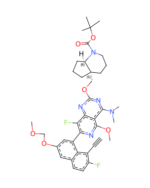 C#Cc1c(F)ccc2cc(OCOC)cc(-c3nc(OC)c4c(N(C)C)nc(OC[C@]56CCC[C@H]5N(C(=O)OC(C)(C)C)CCC6)nc4c3F)c12